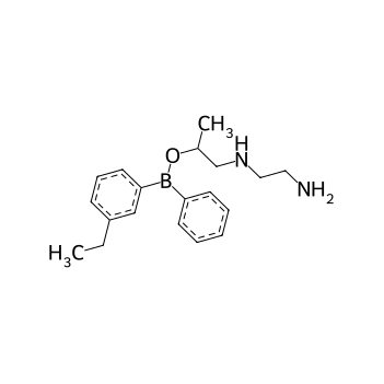 CCc1cccc(B(OC(C)CNCCN)c2ccccc2)c1